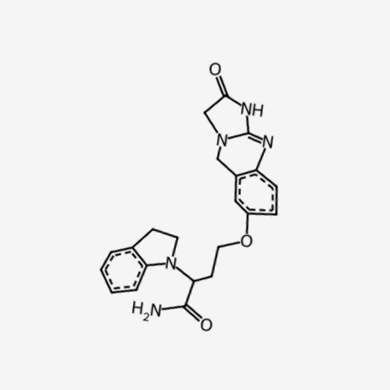 NC(=O)C(CCOc1ccc2c(c1)CN1CC(=O)NC1=N2)N1CCc2ccccc21